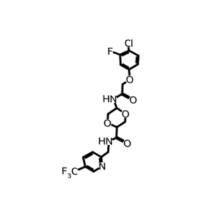 O=C(COc1ccc(Cl)c(F)c1)NC1COC(C(=O)NCc2ccc(C(F)(F)F)cn2)CO1